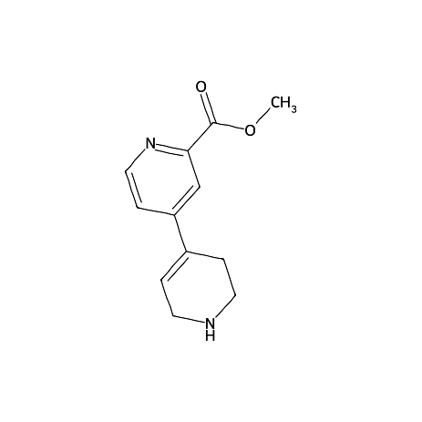 COC(=O)c1cc(C2=CCNCC2)ccn1